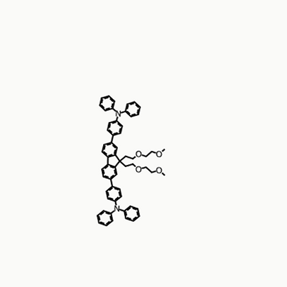 COCCOCCC1(CCOCCOC)c2cc(-c3ccc(N(c4ccccc4)c4ccccc4)cc3)ccc2-c2ccc(-c3ccc(N(c4ccccc4)c4ccccc4)cc3)cc21